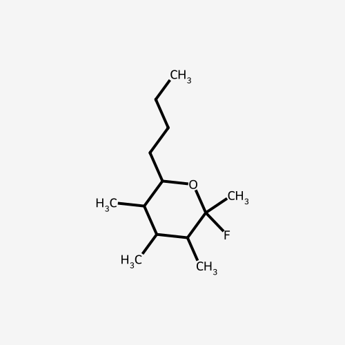 CCCCC1OC(C)(F)C(C)C(C)C1C